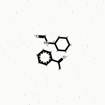 CC(=O)c1ccccc1.O=CNC1CCCCC1